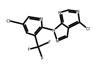 FC(F)(F)c1cc(Cl)cnc1-n1ncc2c(Cl)ncnc21